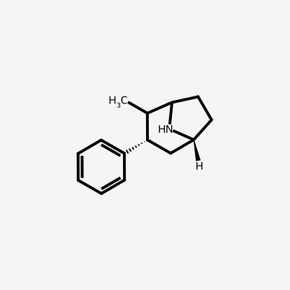 CC1C2CC[C@H](C[C@@H]1c1ccccc1)N2